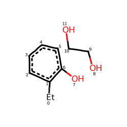 CCc1ccccc1O.OCCO